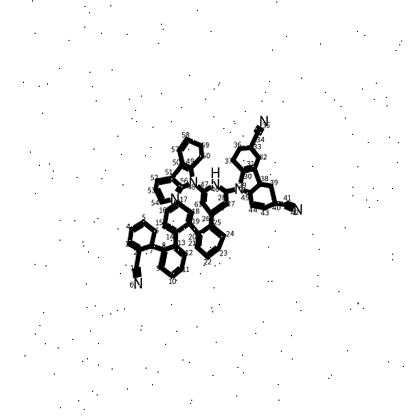 N#CC1=CC=CCC1c1ccccc1-c1ccccc1-c1ccccc1C1=CC(N2C3=C(CC(C#N)CC3)C3CC(C#N)C=CC32)NC(n2c3c(c4cccnc42)C=CCC3)=C1